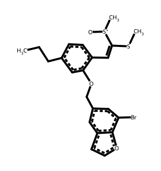 CCCc1ccc(C=C(SC)[S+](C)[O-])c(OCc2cc(Br)c3occc3c2)c1